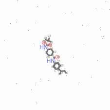 CCC(C)c1ccc(NC(=O)[C@H]2CC[C@H](NS(=O)(=O)C(C)(C)C)CC2)cc1